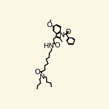 CCCCN(CCCC)C(=O)CCCCCCCNC(=O)Cc1c(C)n(C(=O)c2ccccc2)c2ccc(OC)cc12